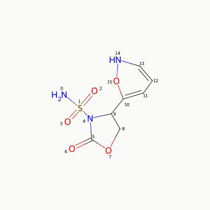 NS(=O)(=O)N1C(=O)OCC1C1=CC=CNO1